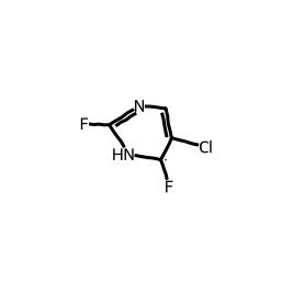 F[C]1NC(F)=NC=C1Cl